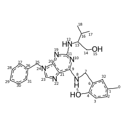 Cc1ccc(O)c(CNc2nc(NC(CO)C(C)C)nc3c2ncn3Cc2ccccc2)c1